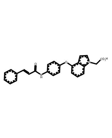 O=C(O)Cn1ccc2c(Oc3ccc(NC(=O)/C=C/c4ccccc4)cc3)cccc21